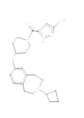 Cc1cc(C(=O)N2CCC(Oc3ccc4c(c3)CCN(C3CCC3)CC4)CC2)no1